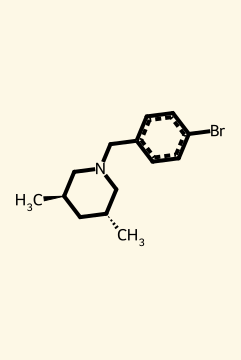 C[C@@H]1C[C@@H](C)CN(Cc2ccc(Br)cc2)C1